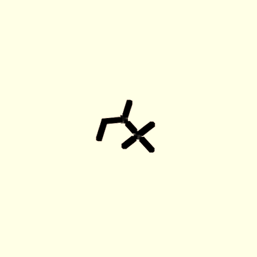 CC[N](C)[Zr]([CH3])([CH3])[CH3]